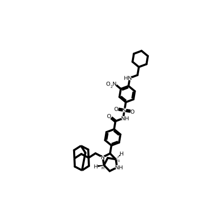 O=C(NS(=O)(=O)c1ccc(NCC2CCCCC2)c([N+](=O)[O-])c1)c1ccc(C2[C@@H]3C[C@H](CN3)N2CC23CC4CC(CC(C4)C2)C3)cc1